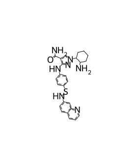 NC(=O)c1cn(C2CCCCC2N)nc1Nc1ccc(SNc2ccc3cccnc3c2)cc1